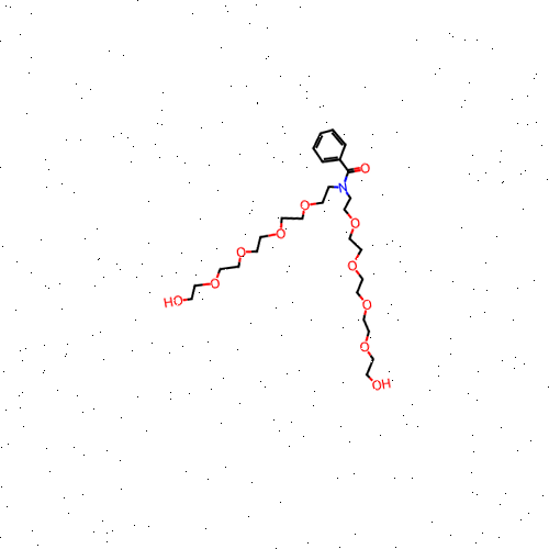 O=C(c1ccccc1)N(CCOCCOCCOCCOCCO)CCOCCOCCOCCOCCO